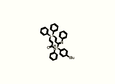 CC(C)(C)c1ccc(SC(C=CSc2ccccc2)=Nc2ccccc2)cc1.O=C(C=CSc1ccccc1)Nc1ccccc1